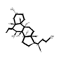 C/C=C1\[C@H](O)[C@@H]2[C@H](CC[C@]3(C)[C@@H]([C@H](C)CCO)CC[C@@H]23)[C@@]2(C)CC[C@@H](O)C[C@@H]12